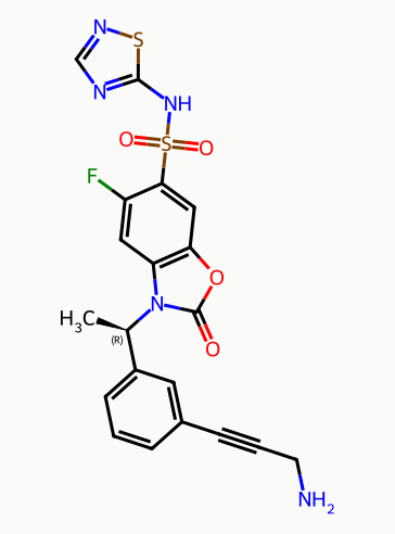 C[C@H](c1cccc(C#CCN)c1)n1c(=O)oc2cc(S(=O)(=O)Nc3ncns3)c(F)cc21